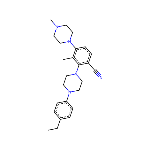 CCc1ccc(N2CCN(c3c(C#N)ccc(N4CCN(C)CC4)c3C)CC2)cc1